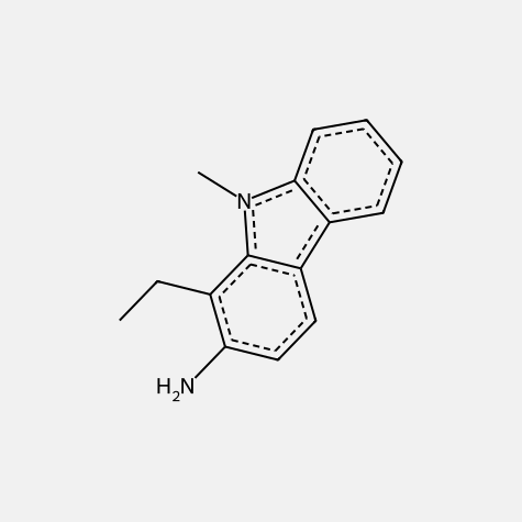 CCc1c(N)ccc2c3ccccc3n(C)c12